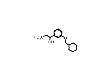 O=C(O)CC(O)c1cccc(OCC2CCCCC2)c1